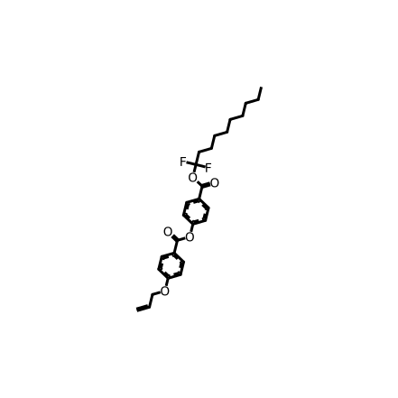 C=CCOc1ccc(C(=O)Oc2ccc(C(=O)OC(F)(F)CCCCCCCCC)cc2)cc1